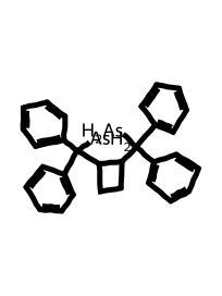 [AsH2]C(c1ccccc1)(c1ccccc1)C1CCC1C([AsH2])(c1ccccc1)c1ccccc1